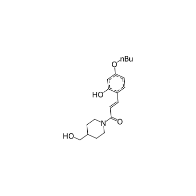 CCCCOc1ccc(/C=C/C(=O)N2CCC(CO)CC2)c(O)c1